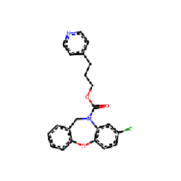 O=C(OCCCc1ccncc1)N1Cc2ccccc2Oc2ccc(Cl)cc21